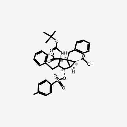 Cc1ccc(S(=O)(=O)O[C@@H]2C(Cc3ccccc3)[C@@](NC(=O)OC(C)(C)C)(C(=O)O)[C@@]3(Cc4ccccc4)[C@H]2[C@H]3C(=O)O)cc1